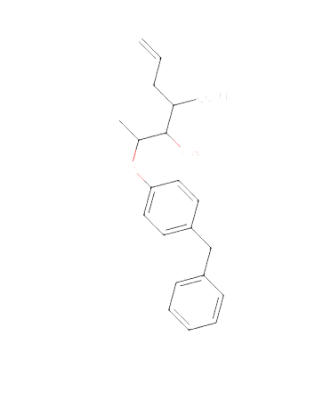 C=CCC(C(=O)O)C(O)C(C)Oc1ccc(Cc2ccccc2)cc1